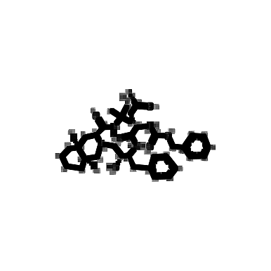 CC(C)(C)NC(=O)[C@@H]1C[C@@H]2CCCC[C@@H]2CN1C[C@@H](O)[C@H](Cc1ccccc1)NC(=O)[C@H](CC(N)=O)NC(=O)OCc1ccccc1